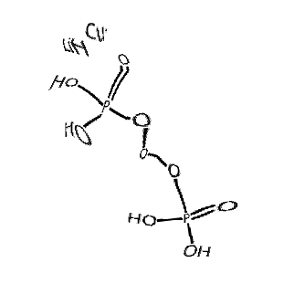 O=P(O)(O)OOOP(=O)(O)O.[Cu].[LiH]